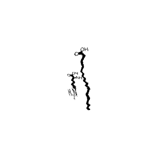 CCCCCCCCCCCCCCCCCC(=O)O.NCCCC[C@H](N)C(=O)O